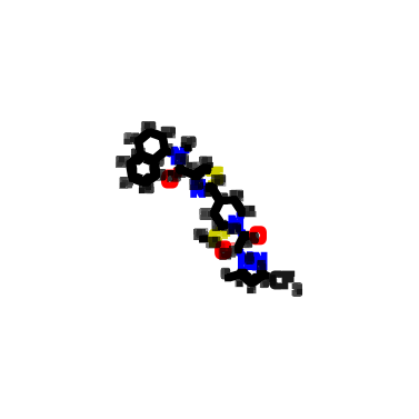 Cc1cc(C(F)(F)F)nn1CC(=O)N1CCC(c2nc(C(=O)N(C)C3CCCc4ccccc43)cs2)CC1[S+](C)[O-]